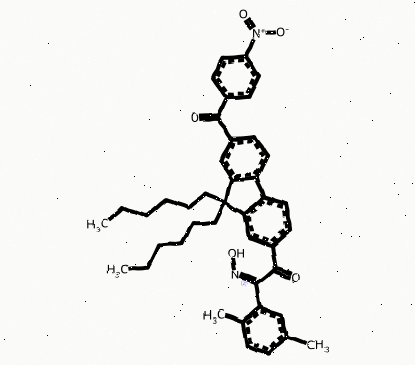 CCCCCCC1(CCCCCC)c2cc(C(=O)/C(=N\O)c3cc(C)ccc3C)ccc2-c2ccc(C(=O)c3ccc([N+](=O)[O-])cc3)cc21